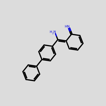 N=C1C=CC=C/C1=C(/N)c1ccc(-c2ccccc2)cc1